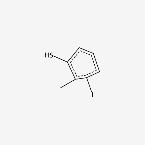 Cc1c(S)cccc1I